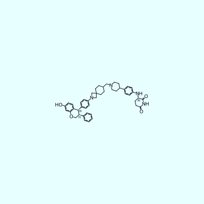 O=C1CC[C@@H](Nc2ccc(C3CCN(CC4CCC5(CC4)CN(c4ccc([C@@H]6c7ccc(O)cc7OC[C@@H]6c6ccccc6)cc4)C5)CC3)cc2)C(=O)N1